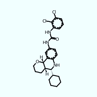 O=C(Nc1ccc2c(c1)[C@H]1OCCC[C@H]1[C@@H](C1CCCCC1)N2)Nc1cccc(Cl)c1Cl